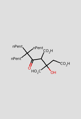 CCCCCC(CCCCC)(CCCCC)C(=O)C(C(=O)O)C(O)(CC(=O)O)C(=O)O